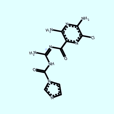 N/C(=N/C(=O)c1nc(Cl)c(N)nc1N)NC(=O)n1ccnc1